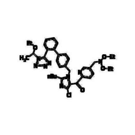 CCCCc1nc(Cl)c(C(=O)c2ccc(CN(OCC)OCC)cn2)n1Cc1ccc(-c2ccccc2-c2nnnn2C(C)OCC)cc1